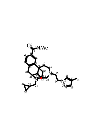 CNC(=O)c1ccc2c(c1)C13CCN(CCn4cc(C)cn4)CCC1(O)C(C2)N(CC1CC1)CC3